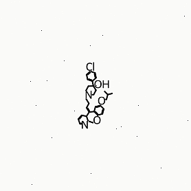 CC(C)COc1ccc2c(c1)C(=CCCN1CCC(O)(c3ccc(Cl)cc3)CC1)C1C=CC=NC1CO2